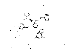 CC[Si](C#C[C@]1(COCc2ccccc2)O[C@@H](n2cnc3c(N)nc(N)nc32)[C@H](O)[C@@H]1OCc1ccccc1)(CC)CC